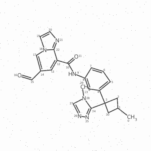 CC1CC(c2cccc(NC(=O)c3cc(C=O)cn4ccnc34)c2)(c2nncn2C)C1